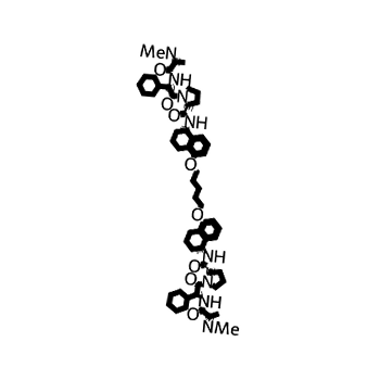 CN[C@@H](C)C(=O)N[C@H](C(=O)N1CCC[C@H]1C(=O)N[C@@H]1CCCc2c(OCCCCCOc3cccc4c3CCC[C@H]4NC(=O)[C@@H]3CCCN3C(=O)[C@@H](NC(=O)[C@H](C)NC)C3CCCCC3)cccc21)C1CCCCC1